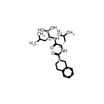 CC(C)C[C@H](NC(=O)[C@H](CC(C)C)NC(=O)N1CCc2ccccc2C1)B(O)O